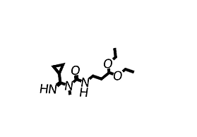 CCOC(CCNC(=O)N(C)C(=N)C1CC1)OCC